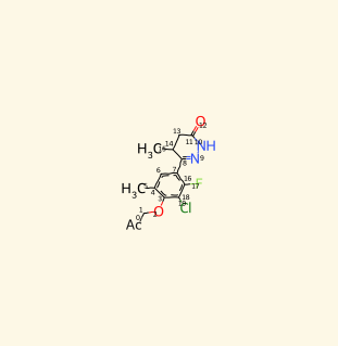 CC(=O)COc1c(C)cc(C2=NNC(=O)CC2C)c(F)c1Cl